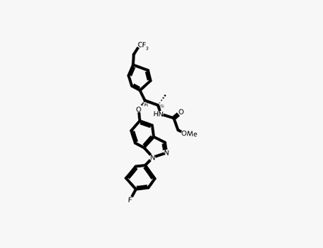 COCC(=O)N[C@@H](C)[C@H](Oc1ccc2c(cnn2-c2ccc(F)cc2)c1)c1ccc(CC(F)(F)F)cc1